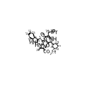 CCOC(=O)c1nc([C@@H](Cc2c[nH]c3ccccc23)N(C(=O)CC2CCCCC2)C(=O)[C@@H](N)CC(C)C)[nH]c1C